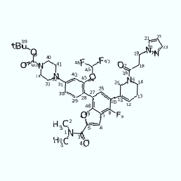 CN(C)C(=O)c1cc2c(F)c(C3=CCCN(C(=O)CCn4cccn4)C3)cc(-c3ccc(N4CCN(C(=O)OC(C)(C)C)CC4)cc3OC(F)F)c2o1